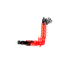 O.O.O.O.O=P([O-])([O-])[O-].O=P([O-])([O-])[O-].O=P([O-])([O-])[O-].O=P([O-])([O-])[O-].O=P([O-])([O-])[O-].O=P([O-])([O-])[O-].O=P([O-])([O-])[O-].O=P([O-])([O-])[O-].O=P([O-])([O-])[O-].[Ca+2].[Ca+2].[Ca+2].[Ca+2].[Fe+3].[Fe+3].[Fe+3].[Fe+3].[Mg+2].[Mg+2].[Mg+2].[Mg+2].[Mn+2].[Mn+2].[Mn+2].[Mn+2].[OH-].[OH-].[OH-].[OH-].[OH-].[OH-].[OH-].[OH-].[OH-]